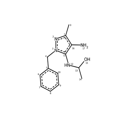 Cc1nn(Cc2ccccc2)c(NC(C)O)c1N